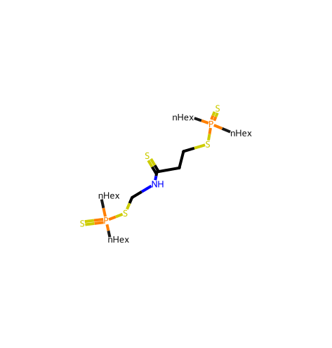 CCCCCCP(=S)(CCCCCC)SCCC(=S)NCSP(=S)(CCCCCC)CCCCCC